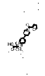 CC(C)(Oc1ccc(C2CCN(C(=O)c3ccco3)CC2)cc1)C(=O)O